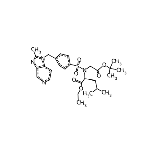 CCOC(=O)[C@H](CC(C)C)N(CC(=O)OC(C)(C)C)S(=O)(=O)c1ccc(Cn2c(C)nc3cnccc32)cc1